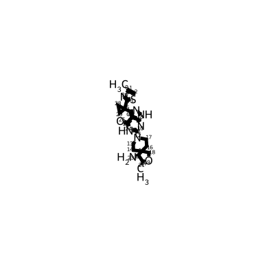 Cc1csc(C2(c3n[nH]c4nc(N5CCC6(CC5)CO[C@@H](C)[C@H]6N)[nH]c(=O)c34)CC2)n1